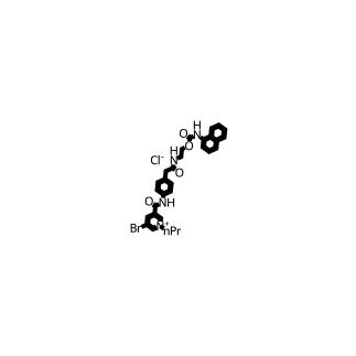 CCC[n+]1cc(Br)cc(C(=O)Nc2ccc(CC(=O)NCCOC(=O)Nc3cccc4ccccc34)cc2)c1.[Cl-]